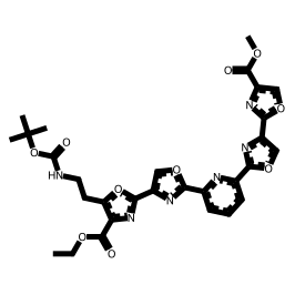 CCOC(=O)c1nc(-c2coc(-c3cccc(-c4nc(-c5nc(C(=O)OC)co5)co4)n3)n2)oc1CCNC(=O)OC(C)(C)C